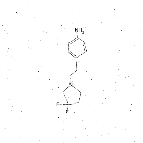 Nc1ccc(CCN2CCC(F)(F)C2)cc1